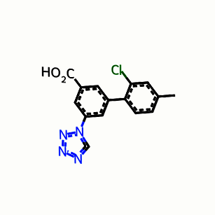 Cc1ccc(-c2cc(C(=O)O)cc(-n3cnnn3)c2)c(Cl)c1